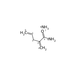 C=CCC(=C)C(N)=O.N